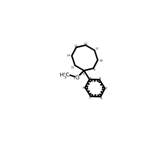 COC1(c2ccccc2)CCCCCCC1